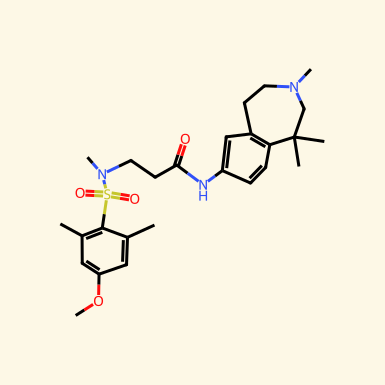 COc1cc(C)c(S(=O)(=O)N(C)CCC(=O)Nc2ccc3c(c2)CCN(C)CC3(C)C)c(C)c1